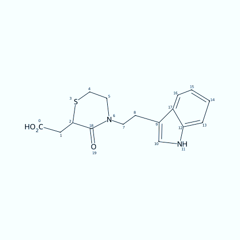 O=C(O)CC1SCCN(CCc2c[nH]c3ccccc23)C1=O